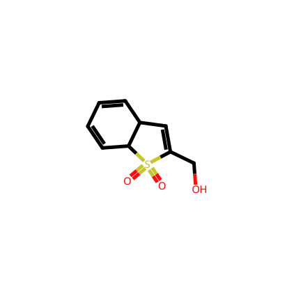 O=S1(=O)C(CO)=CC2C=CC=CC21